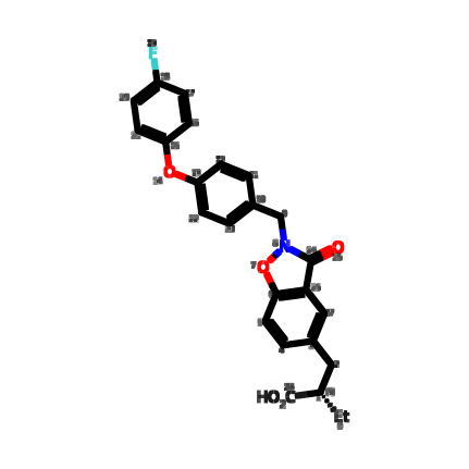 CC[C@@H](Cc1ccc2on(Cc3ccc(Oc4ccc(F)cc4)cc3)c(=O)c2c1)C(=O)O